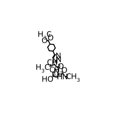 CNC(=O)[C@@H]1C[C@@H](O)CN1C(=O)C(n1cc(C2CCC(C(=O)OC)CC2)nn1)C(C)(C)C